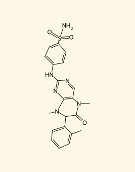 Cc1ccccc1C1C(=O)N(C)c2cnc(Nc3ccc(S(N)(=O)=O)cc3)nc2N1C